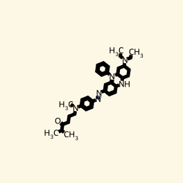 CCN(CC)C1CCC2NC3C=CC(/N=N/c4ccc(N(C)CCCC(=O)C(C)C)cc4)=CC3=[N+](c3ccccc3)C2C1